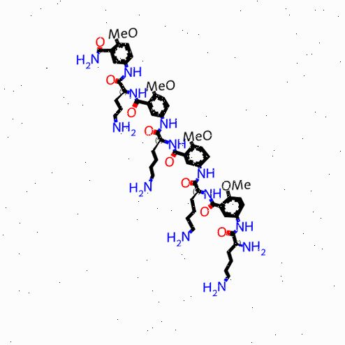 COc1ccc(NC(=O)[C@H](CCCN)NC(=O)c2cc(NC(=O)[C@H](CCCCN)NC(=O)c3cc(NC(=O)[C@H](CCCCN)NC(=O)c4cc(NC(=O)[C@@H](N)CCCCN)ccc4OC)ccc3OC)ccc2OC)cc1C(N)=O